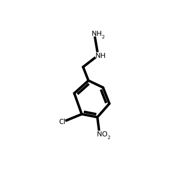 NNCc1ccc([N+](=O)[O-])c(Cl)c1